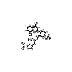 COC(=O)[C@H]1CCN(CC(O)COc2cc(C(F)(F)F)ccc2-c2cc(=O)c3cccc(Cl)c3o2)C1